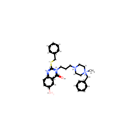 Bc1ccc2nc(SCc3ccccc3)n(CCCN3CC[N+](C)(Cc4ccccc4)CC3)c(=O)c2c1